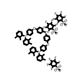 Cc1cccc([S+](c2ccc(Oc3ccc([I+]c4ccc(Oc5ccc([S+](c6cccc(C)c6C)c6cccc(C)c6C)cc5)cc4)cc3)cc2)c2cccc(C)c2C)c1C.O=S(=O)([O-])c1c(F)c(F)c(F)c(F)c1F.O=S(=O)([O-])c1c(F)c(F)c(F)c(F)c1F.O=S(=O)([O-])c1c(F)c(F)c(F)c(F)c1F